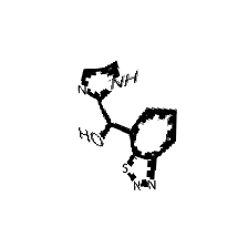 OC(c1ncc[nH]1)c1cccc2nnsc12